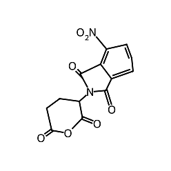 O=C1CCC(N2C(=O)c3cccc([N+](=O)[O-])c3C2=O)C(=O)O1